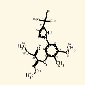 CO/C=C(\Oc1cc(-n2ccc(C(F)(F)F)n2)cc(OC)c1C)C(=O)OC